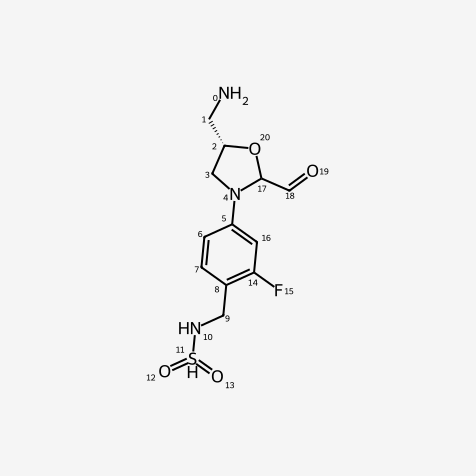 NC[C@H]1CN(c2ccc(CN[SH](=O)=O)c(F)c2)C(C=O)O1